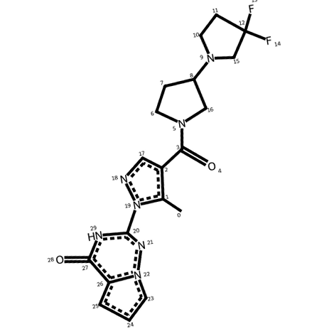 Cc1c(C(=O)N2CCC(N3CCC(F)(F)C3)C2)cnn1-c1nn2cccc2c(=O)[nH]1